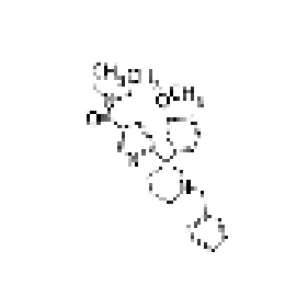 CCN(CC)C(=O)c1ccc(C2(c3cccc(OC)c3)CCCN(Cc3ccccc3)C2)nc1